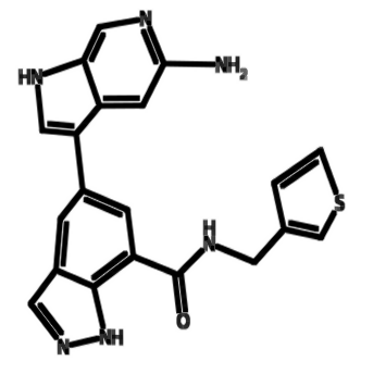 Nc1cc2c(-c3cc(C(=O)NCc4ccsc4)c4[nH]ncc4c3)c[nH]c2cn1